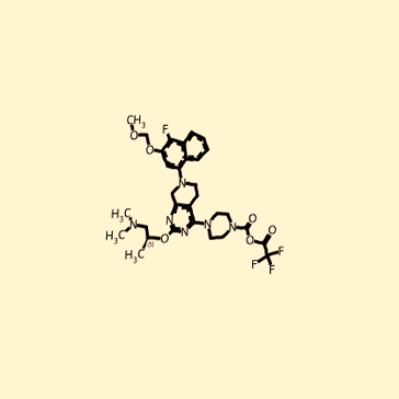 COCOc1cc(N2CCc3c(nc(O[C@@H](C)CN(C)C)nc3N3CCN(C(=O)OC(=O)C(F)(F)F)CC3)C2)c2ccccc2c1F